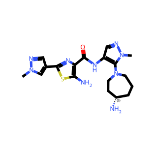 Cn1cc(-c2nc(C(=O)Nc3cnn(C)c3N3CCC[C@H](N)CC3)c(N)s2)cn1